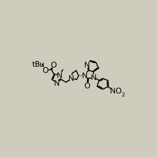 Cn1c(C(=O)OC(C)(C)C)cnc1CN1CC[C@H](n2c(=O)n(-c3ccc([N+](=O)[O-])cc3)c3cccnc32)C1